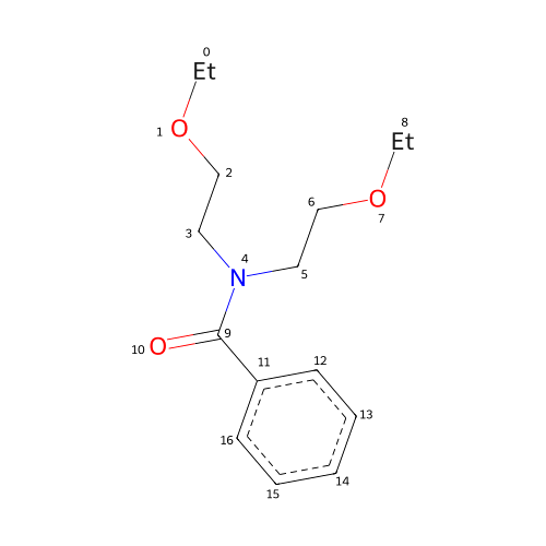 CCOCCN(CCOCC)C(=O)c1ccccc1